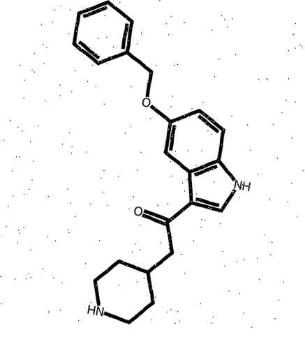 O=C(CC1CCNCC1)c1c[nH]c2ccc(OCc3ccccc3)cc12